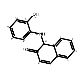 O=C1C=Cc2ccccc2C1Nc1ccccc1O